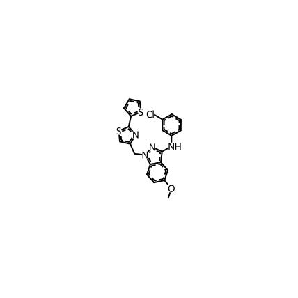 COc1ccc2c(c1)c(Nc1cccc(Cl)c1)nn2Cc1csc(-c2cccs2)n1